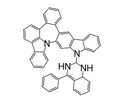 C1=CC2=C(c3ccccc3)NC(n3c4ccccc4c4cc5c(cc43)-n3c4ccccc4c4cccc(c43)-c3ccccc3-5)NC2C=C1